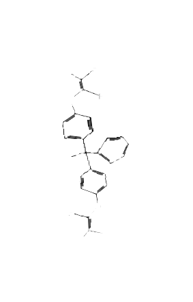 CC(c1ccccc1)(c1ccc(OC(F)=C(F)F)cc1)c1ccc(OC(F)=C(F)F)cc1